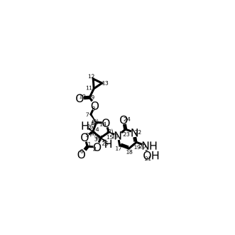 O=C1O[C@@H]2[C@H](O1)[C@@H](COC(=O)C1CC1)O[C@H]2n1ccc(NO)nc1=O